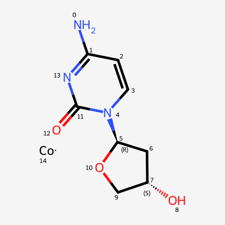 Nc1ccn([C@H]2C[C@H](O)CO2)c(=O)n1.[Co]